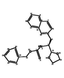 O=C(N[C@@H](Cc1ccc2ccccc2c1)C1OCCO1)OCc1ccccc1